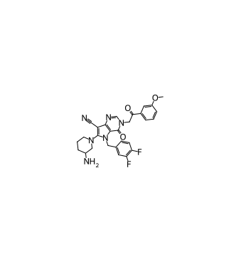 COc1cccc(C(=O)Cn2cnc3c(C#N)c(N4CCCC(N)C4)n(Cc4ccc(F)c(F)c4)c3c2=O)c1